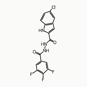 O=C(NNC(=O)c1cc2cc(Cl)ccc2[nH]1)c1cc(F)c(F)c(F)c1